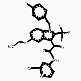 CCOc1ccc2c(c1)c(C(=O)C(=O)Nc1ccnc(Cl)c1)c(C(F)(F)F)n2Cc1ccc(Cl)cc1